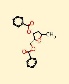 CC1C[C@@H](OC(=O)c2ccccc2)[C@@H](COC(=O)c2ccccc2)O1